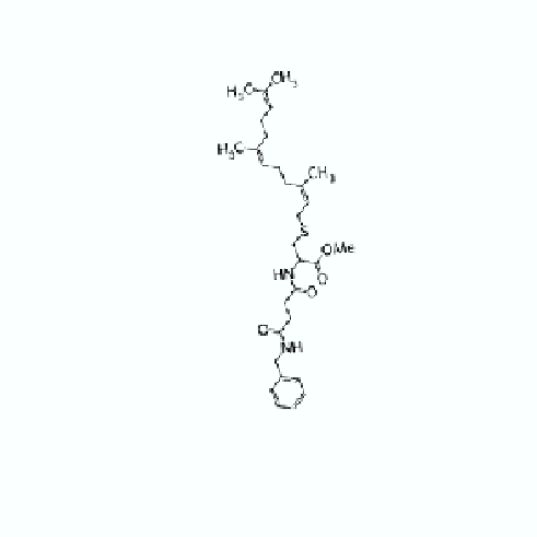 COC(=O)C(CSCC=C(C)CCC=C(C)CCC=C(C)C)NC(=O)CCC(=O)NCc1ccccc1